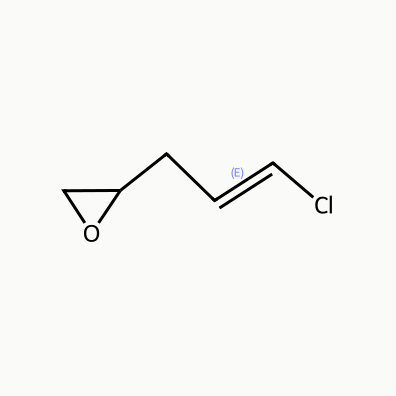 Cl/C=C/CC1CO1